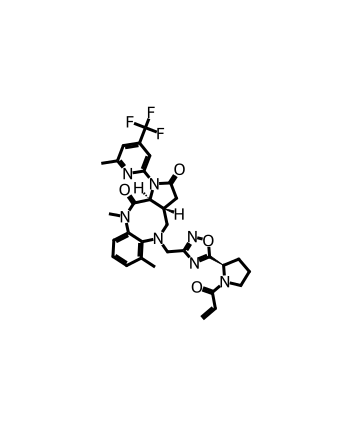 C=CC(=O)N1CCC[C@@H]1c1nc(CN2C[C@H]3CC(=O)N(c4cc(C(F)(F)F)cc(C)n4)[C@@H]3C(=O)N(C)c3cccc(C)c32)no1